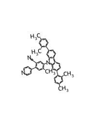 Cc1ccc(-c2ccc3c4ccc(-c5ccc(C)cc5C)cc4n(-c4cc(C#N)c(-c5ccncc5)cc4C)c3c2)c(C)c1